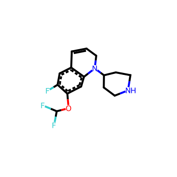 Fc1cc2c(cc1OC(F)F)N(C1CCNCC1)CC=C2